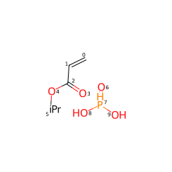 C=CC(=O)OC(C)C.O=[PH](O)O